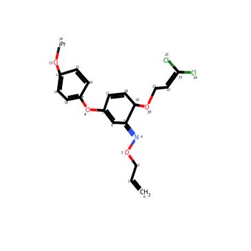 C=CCON=C1C=C(Oc2ccc(OC(C)C)cc2)C=CC1OCC=C(Cl)Cl